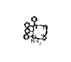 NC1=C(c2ccccc2)C2=NC1=CC1=NC(=CC3=NC(=CC4=NC(=C2c2ccccc2)C(c2ccccc2)=C4c2ccccc2)C=C3)C=C1